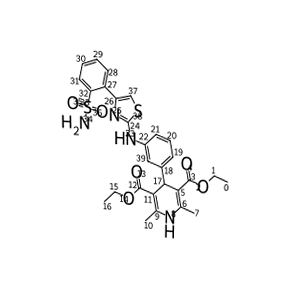 CCOC(=O)C1=C(C)NC(C)=C(C(=O)OCC)C1c1cccc(Nc2nc(-c3ccccc3S(N)(=O)=O)cs2)c1